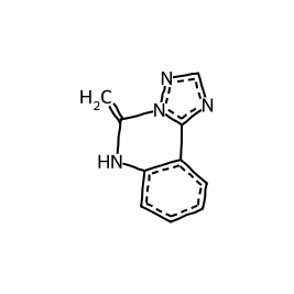 C=C1Nc2ccccc2-c2ncnn21